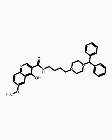 COc1ccc2ncc(C(=O)NCCCCN3CCN(C(c4ccccc4)c4ccccc4)CC3)c(O)c2c1